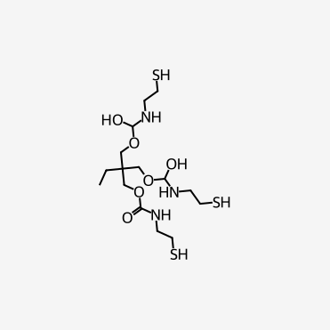 CCC(COC(=O)NCCS)(COC(O)NCCS)COC(O)NCCS